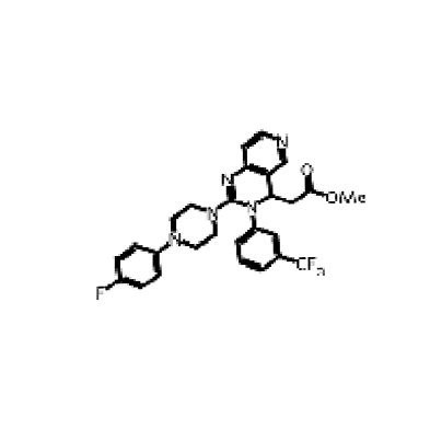 COC(=O)CC1c2cnccc2N=C(N2CCN(c3ccc(F)cc3)CC2)N1c1cccc(C(F)(F)F)c1